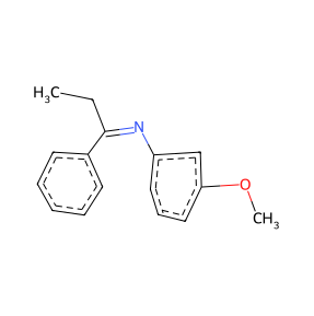 CC/C(=N/c1cccc(OC)c1)c1ccccc1